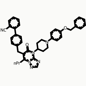 CCCc1c(Cc2ccc(-c3ccccc3C#N)cc2)c(=O)n(C2CCN(c3ccc(OCc4ccccc4)cc3)CC2)c2ncnn12